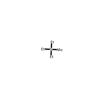 CC[Si]([Mo])(CC)CC